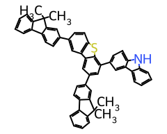 CC1(C)c2ccccc2-c2ccc(-c3ccc4sc5c(-c6ccc7[nH]c8ccccc8c7c6)cc(-c6ccc7c(c6)C(C)(C)c6ccccc6-7)cc5c4c3)cc21